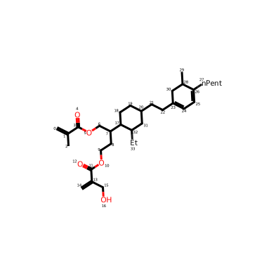 C=C(C)C(=O)OCC(CCOC(=O)C(=C)CO)C1CCC(CCC2=CC=C(CCCCC)C(C)C2)CC1CC